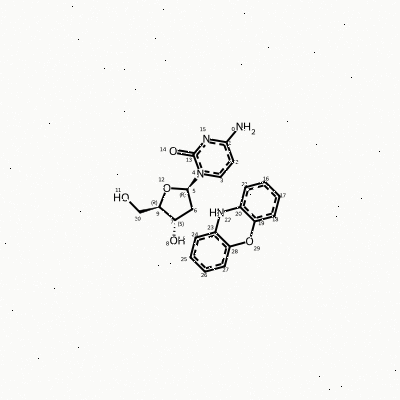 Nc1ccn([C@H]2C[C@H](O)[C@@H](CO)O2)c(=O)n1.c1ccc2c(c1)Nc1ccccc1O2